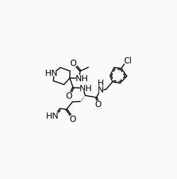 CC(=O)NC1(C(=O)N[C@@H](CCC(=O)C=N)C(=O)NCc2ccc(Cl)cc2)CCNCC1